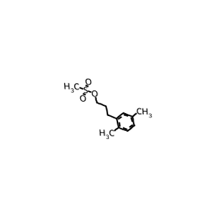 Cc1ccc(C)c(CCCOS(C)(=O)=O)c1